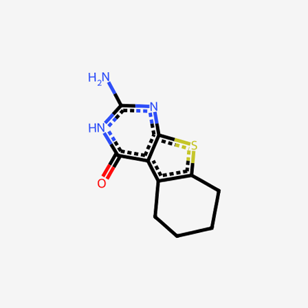 Nc1nc2sc3c(c2c(=O)[nH]1)CCCC3